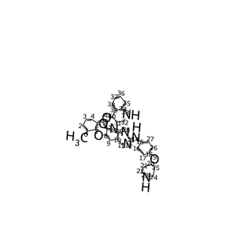 Cc1ccccc1Oc1cc2cnc(Nc3ccc(OC4CCNCC4)cc3)nc2n(C2CNc3ccccc3C2=O)c1=O